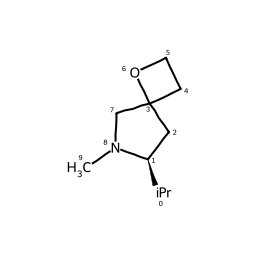 CC(C)[C@@H]1CC2(CCO2)CN1C